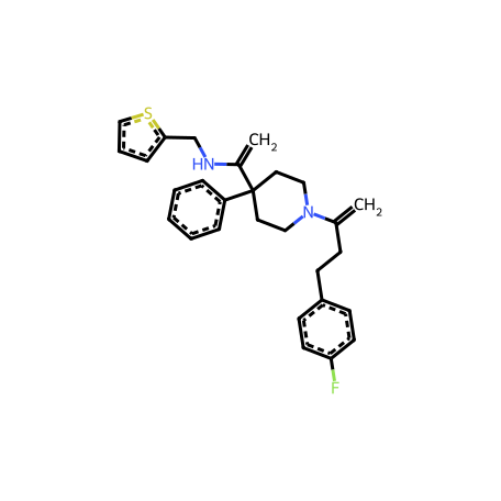 C=C(CCc1ccc(F)cc1)N1CCC(C(=C)NCc2cccs2)(c2ccccc2)CC1